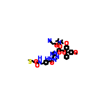 COc1ccc(C(OCC2OC(n3cnc4c(NC(=O)c5ccc(CNC(=O)OCCSC)cc5)ncnc43)CC2OP(OCCC#N)N(C(C)C)C(C)C)(c2ccccc2)c2ccc(OC)cc2)cc1